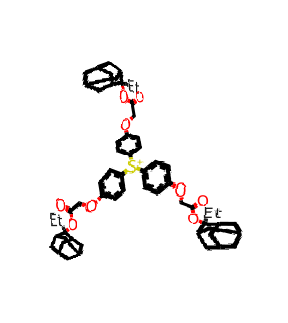 CCC1(OC(=O)COc2ccc([S+](c3ccc(OCC(=O)OC4(CC)C5CC6CC(C5)CC4C6)cc3)c3ccc(OCC(=O)OC4(CC)C5CC6CC(C5)CC4C6)cc3)cc2)C2CC3CC(C2)CC1C3